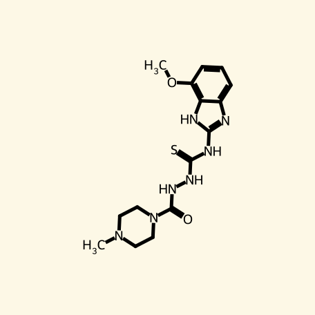 COc1cccc2nc(NC(=S)NNC(=O)N3CCN(C)CC3)[nH]c12